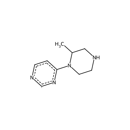 CC1CNCCN1c1ccn[c]n1